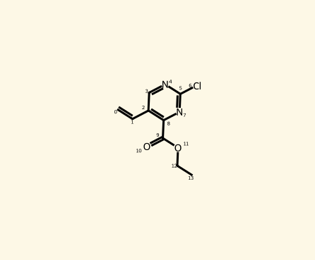 C=Cc1cnc(Cl)nc1C(=O)OCC